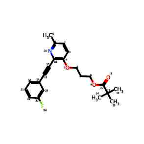 Cc1ccc(OCCCOC(=O)C(C)(C)C)c(C#Cc2cccc(F)c2)n1